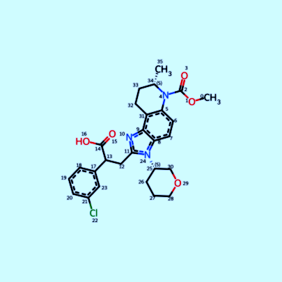 COC(=O)N1c2ccc3c(nc(CC(C(=O)O)c4cccc(Cl)c4)n3[C@H]3CCCOC3)c2CC[C@@H]1C